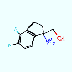 NC1(CO)CCc2c1ccc(F)c2F